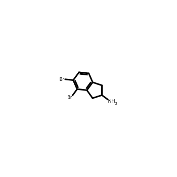 NC1Cc2ccc(Br)c(Br)c2C1